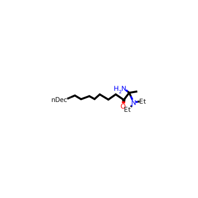 CCCCCCCCCCCCCCCCCC(=O)C(C)(N)N(CC)CC